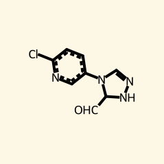 O=CC1NN=CN1c1ccc(Cl)nc1